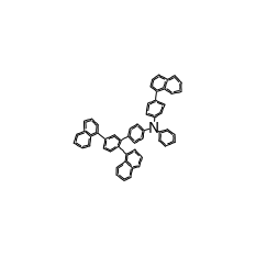 c1ccc(N(c2ccc(-c3cc(-c4cccc5ccccc45)ccc3-c3cccc4ccccc34)cc2)c2ccc(-c3cccc4ccccc34)cc2)cc1